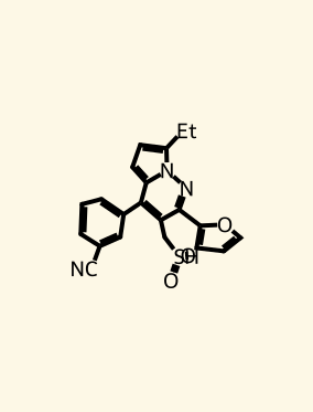 CCc1ccc2c(-c3cccc(C#N)c3)c(C[SH](=O)=O)c(-c3ccco3)nn12